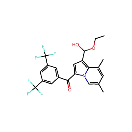 CCOC(O)c1cc(C(=O)c2cc(C(F)(F)F)cc(C(F)(F)F)c2)n2cc(C)cc(C)c12